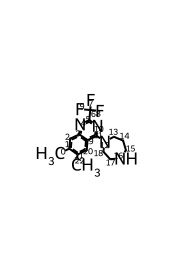 Cc1cc2nc(C(F)(F)F)nc(N3CCCNCC3)c2cc1C